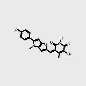 CCN1C(=O)C(C#N)=C(C)/C(=C/c2cc3c(cc(-c4ccc(Cl)cc4)n3C)s2)C1=O